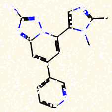 Cc1ncc(-c2cc(-c3cccnc3)cc3nc(N)nn23)n1C